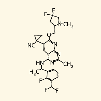 Cc1nc(N[C@H](C)c2cccc(C(F)F)c2F)c2cc(C3(C#N)CC3)c(OCC3CC(F)(F)CN3C)nc2n1